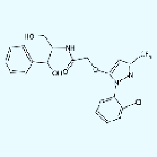 O=C(COc1cc(C(F)(F)F)nn1-c1ccccc1Cl)NC(CO)C(O)c1ccccc1